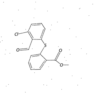 COC(=O)c1ccccc1Sc1cccc(Cl)c1C=O